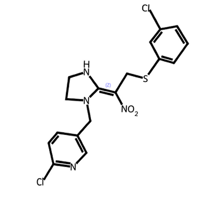 O=[N+]([O-])/C(CSc1cccc(Cl)c1)=C1/NCCN1Cc1ccc(Cl)nc1